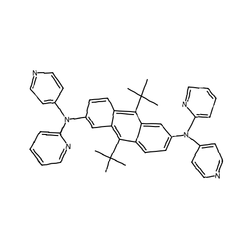 CC(C)(C)c1c2ccc(N(c3ccncc3)c3ccccn3)cc2c(C(C)(C)C)c2ccc(N(c3ccncc3)c3ccccn3)cc12